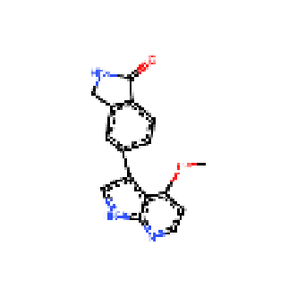 COc1ccnc2[nH]cc(-c3ccc4c(c3)CNC4=O)c12